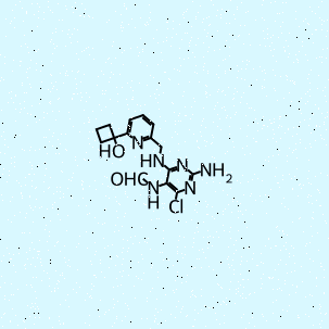 Nc1nc(Cl)c(NC=O)c(NCc2cccc(C3(O)CCC3)n2)n1